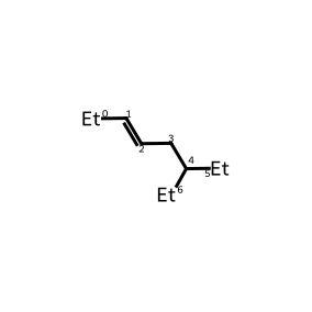 [CH2]CC=CCC(CC)CC